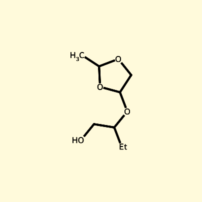 CCC(CO)OC1COC(C)O1